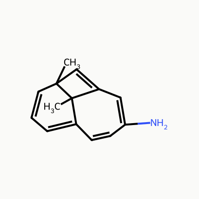 CC12C=CC=C3C=CC(N)=CC(=C1)C32C